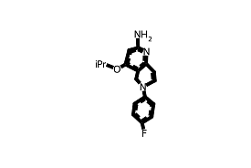 CC(C)Oc1cc(N)nc2c1CN(c1ccc(F)cc1)C=C2